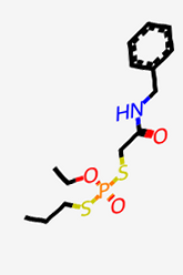 CCCSP(=O)(OCC)SCC(=O)NCc1ccccc1